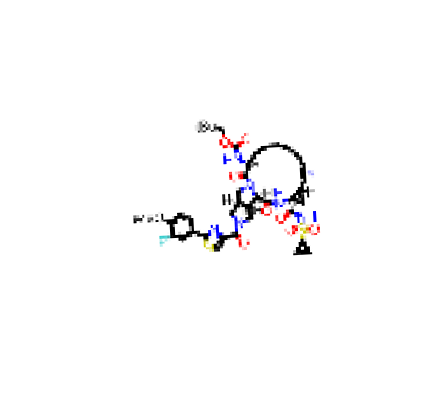 COc1ccc(-c2nc(C(=O)N3C[C@H]4CN5C(=O)[C@@H](NC(=O)OCC(C)(C)C)CCCCC/C=C\[C@@H]6C[C@@]6(C(=O)NS(=O)(=O)C6CC6)NC(=O)[C@@H]5[C@H]4C3)cs2)cc1F